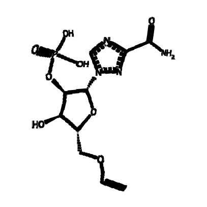 C=COC[C@H]1O[C@@H](n2cnc(C(N)=O)n2)[C@H](OP(=O)(O)O)[C@@H]1O